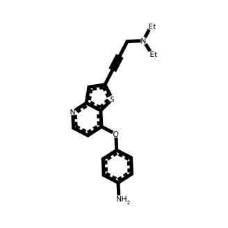 CCN(CC)CC#Cc1cc2nccc(Oc3ccc(N)cc3)c2s1